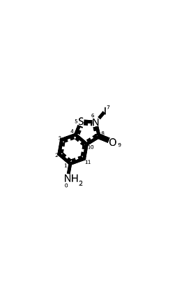 Nc1ccc2sn(I)c(=O)c2c1